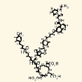 C/N=C/[C@H]1CC(F)(F)CN1C(=O)CNC(=O)c1ccnc2ccc(OCCCCN3CCN(C(=O)CN4C(=O)CC(SCC(CCCCNC(=O)CCCc5ccc(C)cc5)NC(=O)CN5CCN(CC(=O)O)CCN(CC(=O)O)CCN(CC(=O)O)CC5)C4=O)CC3)cc12